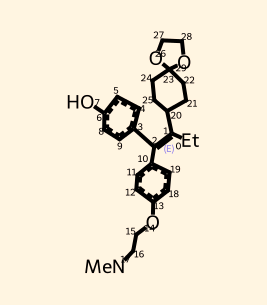 CC/C(=C(/c1ccc(O)cc1)c1ccc(OCCNC)cc1)C1CCC2(CC1)OCCO2